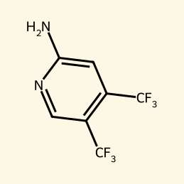 Nc1cc(C(F)(F)F)c(C(F)(F)F)cn1